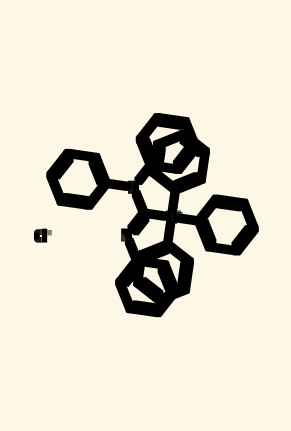 [Cl-].c1ccc(N=C(N(c2ccccc2)c2ccccc2)[N+](c2ccccc2)(c2ccccc2)c2ccccc2)cc1